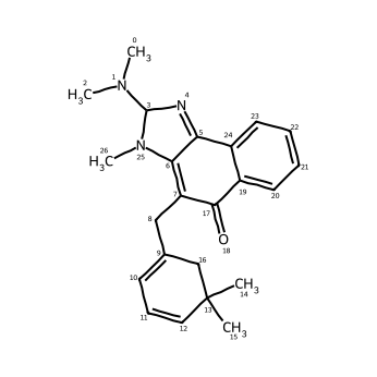 CN(C)C1N=C2C(=C(CC3=CC=CC(C)(C)C3)C(=O)c3ccccc32)N1C